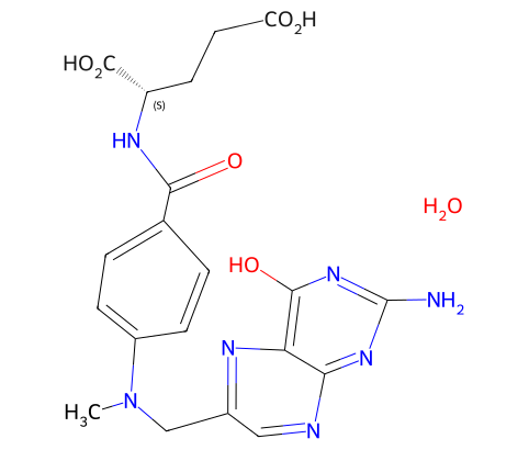 CN(Cc1cnc2nc(N)nc(O)c2n1)c1ccc(C(=O)N[C@@H](CCC(=O)O)C(=O)O)cc1.O